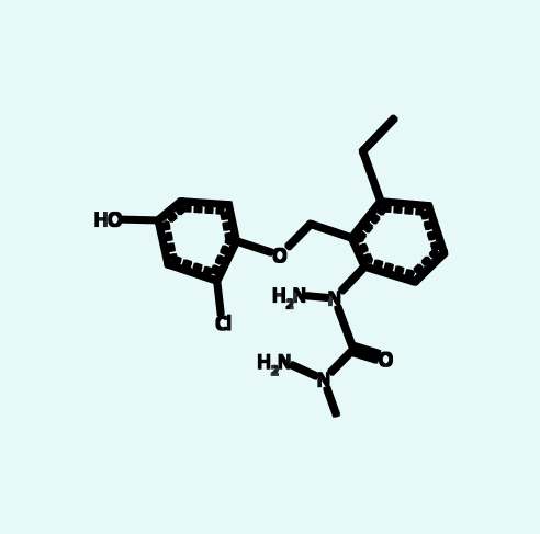 CCc1cccc(N(N)C(=O)N(C)N)c1COc1ccc(O)cc1Cl